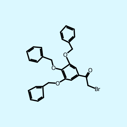 O=C(CBr)c1cc(OCc2ccccc2)c(OCc2ccccc2)c(OCc2ccccc2)c1